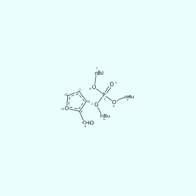 CCCCOP(=O)(OCCCC)OCCCC.O=Cc1ccco1